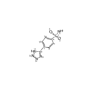 [NH]S(=O)(=O)c1ccc(-c2nnn[nH]2)cc1